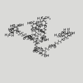 CC(=O)NC1C(OCCCCCC(=O)NCCCCCC(=O)N(CCO)CCOP(=O)(O)OCCN(CCOP(=O)(O)OCCN(CCOC2CCCC(C(C)C)CC2)C(=O)CCCCCNC(=O)CCCCCOC2CC(CO)C(O)C(O)C2NC(C)=O)C(=O)CCCCCNC(=O)CCCCCOC2CC(CO)C(O)C(O)C2NC(C)=O)CC(CO)C(O)C1O